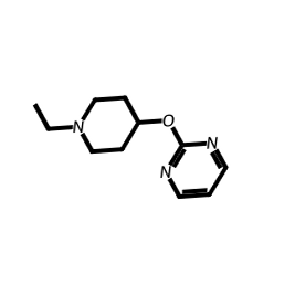 CCN1CCC(Oc2ncccn2)CC1